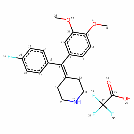 COc1ccc(C(=C2CCNCC2)c2ccc(F)cc2)cc1OC.O=C(O)C(F)(F)F